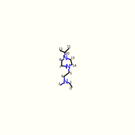 CCN(C)CCN1CCN(C(C)C)CC1